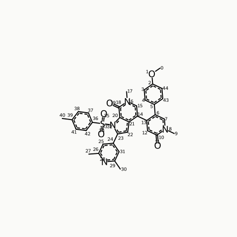 COc1ccc(-c2cn(C)c(=O)cc2-c2cn(C)c(=O)c3c2cc(-c2cc(C)nc(C)c2)n3S(=O)(=O)c2ccc(C)cc2)cc1